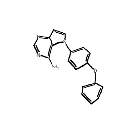 Nc1ncnc2ccn(-c3ccc(Oc4ccccc4)cc3)c12